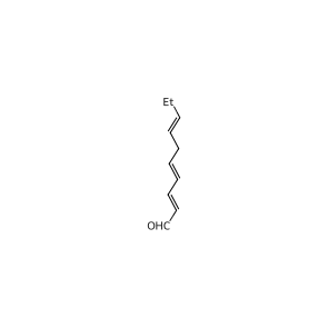 CCC=CCC=CC=CC=O